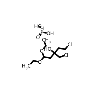 CCOC(CC(O)(CCl)CCCl)OCC.O=[PH](O)O